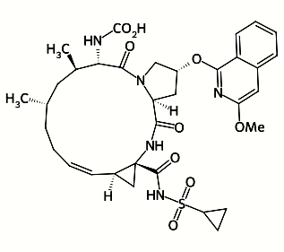 COc1cc2ccccc2c(O[C@@H]2C[C@H]3C(=O)N[C@]4(C(=O)NS(=O)(=O)C5CC5)C[C@H]4/C=C\CC[C@H](C)C[C@@H](C)[C@H](NC(=O)O)C(=O)N3C2)n1